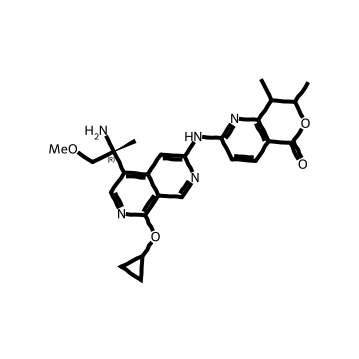 COC[C@](C)(N)c1cnc(OC2CC2)c2cnc(Nc3ccc4c(n3)C(C)C(C)OC4=O)cc12